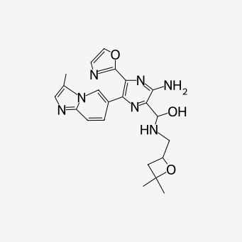 Cc1cnc2ccc(-c3nc(C(O)NCC4CC(C)(C)O4)c(N)nc3-c3ncco3)cn12